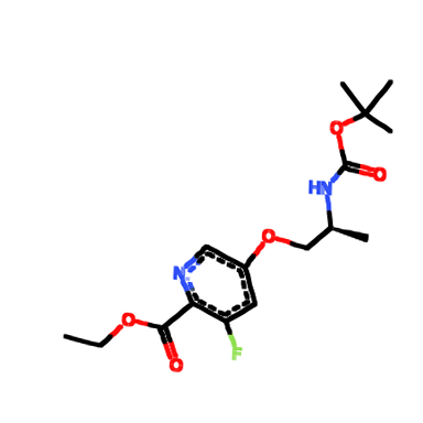 CCOC(=O)c1ncc(OC[C@H](C)NC(=O)OC(C)(C)C)cc1F